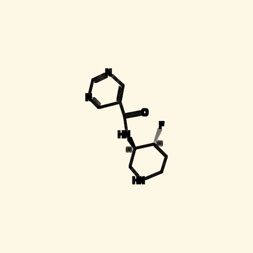 O=C(N[C@@H]1CNCC[C@H]1F)c1cncnc1